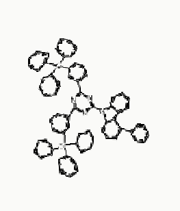 c1ccc(-c2cccc3c2c2ccccc2n3-c2nc(-c3cccc([Si](c4ccccc4)(c4ccccc4)c4ccccc4)c3)nc(-c3cccc([Si](c4ccccc4)(c4ccccc4)c4ccccc4)c3)n2)cc1